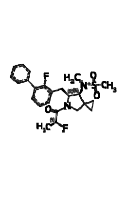 C=[N+]([C@@H]1[C@H](Cc2cccc(-c3ccccc3)c2F)N(C(=O)[C@H](C)F)CC12CC2)S(C)(=O)=O